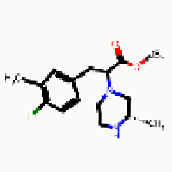 Cc1cc(C[C@@H](C(=O)OC(C)(C)C)N2CCN[C@@H](C)C2)ccc1F